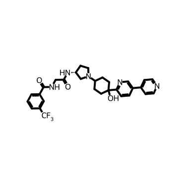 O=C(CNC(=O)c1cccc(C(F)(F)F)c1)N[C@@H]1CCN(C2CCC(O)(c3ccc(-c4ccncc4)cn3)CC2)C1